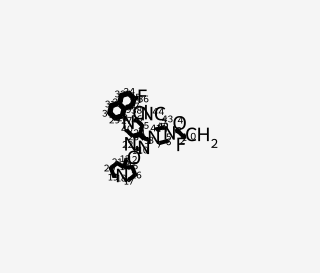 C=C(F)C(=O)N1CCN(c2nc(OCC34CCCN3CCC4)nc3c2CCN(c2cccc4ccc(F)c(Cl)c24)C3)C[C@@H]1CC#N